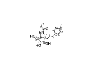 CCC(=O)NC[C@@]1(CCCc2ccc(F)nc2)N[C@H](CO)[C@@H](O)[C@@H]1O